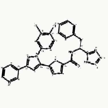 O=C(N[C@@H](Cc1ccccc1)c1nnn[nH]1)c1ccc(-c2cc(-c3cccnc3)nn2-c2ccc(Cl)c(Cl)c2)s1